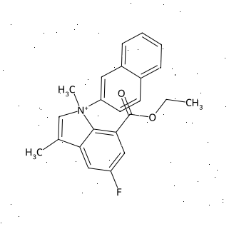 CCOC(=O)c1cc(F)cc2c1[N+](C)(c1ccc3ccccc3c1)C=C2C